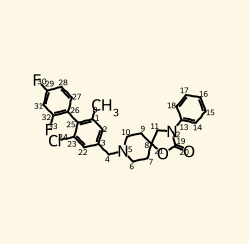 Cc1cc(CN2CCC3(CC2)CN(c2ccccc2)C(=O)O3)cc(Cl)c1-c1ccc(F)cc1F